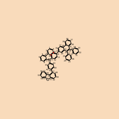 c1ccc(-c2ccccc2N(c2ccc(-c3ccc4c(c3)c(-c3ccccc3)c(-c3ccccc3)c3ccccc34)cc2)c2ccc(-c3cccc4oc5ccccc5c34)cc2)cc1